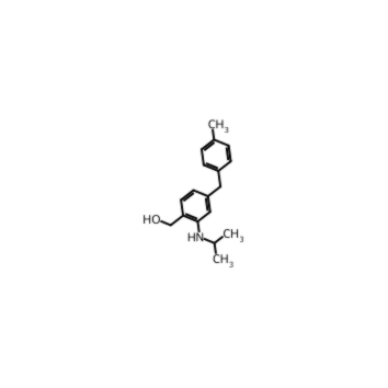 Cc1ccc(Cc2ccc(CO)c(NC(C)C)c2)cc1